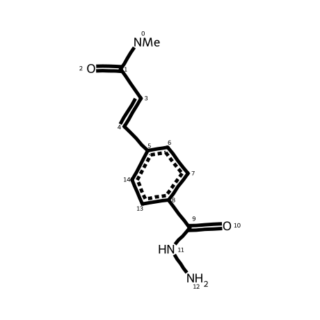 CNC(=O)/C=C/c1ccc(C(=O)NN)cc1